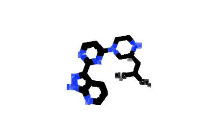 CC(C)C[C@H]1CN(c2ccnc(-c3n[nH]c4ncccc34)n2)CCN1